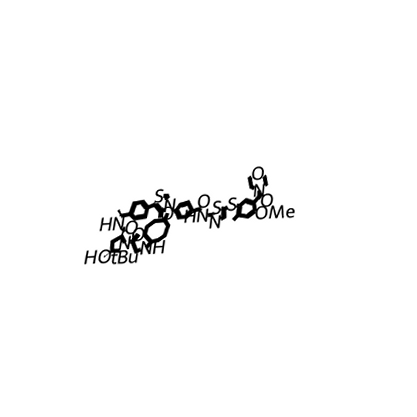 COc1cc(C)c(Sc2cnc(NC(=O)c3ccc(OC4CCCC(N[C@H](C(=O)N5C[C@H](O)C[C@H]5C(=O)N[C@@H](C)c5ccc(-c6scnc6C)cc5)C(C)(C)C)CCC4)cc3)s2)cc1C(=O)N1CCOCC1